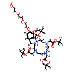 COCCOCCOCCOc1ccc(C[C@@H]2CN(CC(=O)OC(C)(C)C)CCN(CC(=O)OC(C)(C)C)CCN(CC(=O)OC(C)(C)C)CCN2CC(=O)OC(C)(C)C)cc1